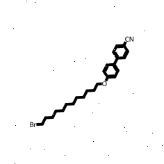 N#Cc1ccc(-c2ccc(OCCCCCCCCCCCCBr)cc2)cc1